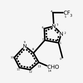 Cc1nn(CC(F)(F)F)cc1-c1ncccc1C=O